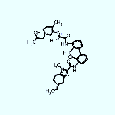 CCN1CCc2c(nc(C(=O)Nc3cccc(-c4cccc(NC(=O)/C(C)=N/C5=C(C)CCN(CC(C)O)C5)c4C)c3Cl)n2C)C1